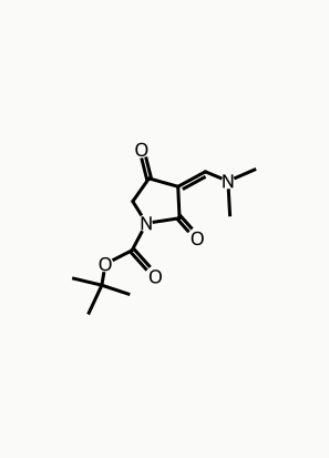 CN(C)/C=C1/C(=O)CN(C(=O)OC(C)(C)C)C1=O